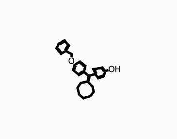 Oc1ccc(C(=C2CCCCCCC2)c2ccc(OCc3ccccc3)cc2)cc1